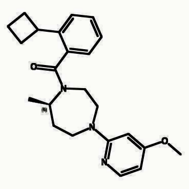 COc1ccnc(N2CC[C@@H](C)N(C(=O)c3ccccc3C3CCC3)CC2)c1